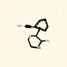 CC1NCCOC1c1ccccc1C#N.Cl